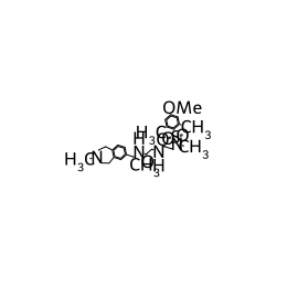 COc1cc(C)c(S(=O)(=O)N(C)CC(=O)NCC(=O)NC(C)c2ccc3c(c2)CCN(C)CC3)c(C)c1